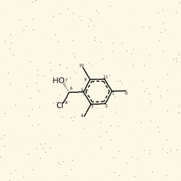 Cc1cc(C)c([C@@H](O)Cl)c(C)c1